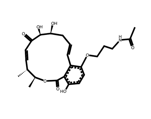 CC(=O)NCCCOc1ccc(O)c2c1/C=C/C[C@H](O)[C@H](O)C(=O)/C=C\[C@@H](C)[C@H](C)OC2=O